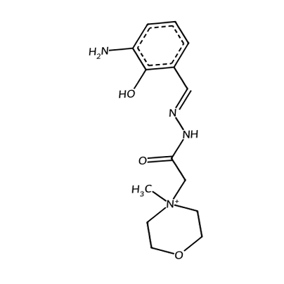 C[N+]1(CC(=O)N/N=C/c2cccc(N)c2O)CCOCC1